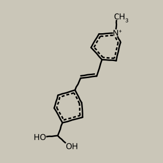 C[n+]1ccc(C=Cc2ccc(C(O)O)cc2)cc1